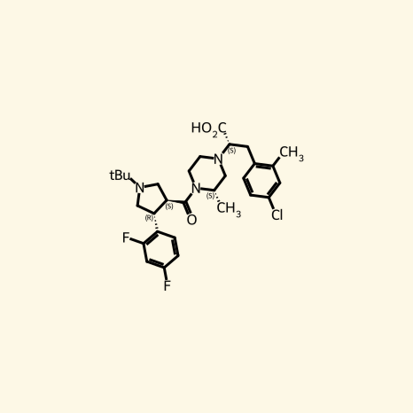 Cc1cc(Cl)ccc1C[C@@H](C(=O)O)N1CCN(C(=O)[C@@H]2CN(C(C)(C)C)C[C@H]2c2ccc(F)cc2F)[C@@H](C)C1